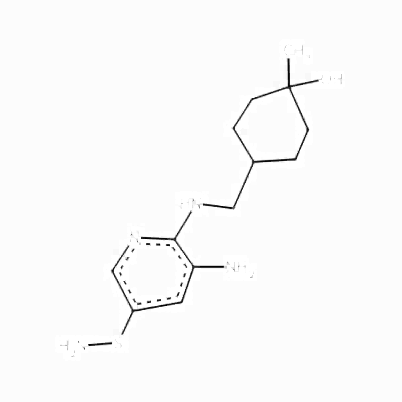 CC1(O)CCC(CNc2ncc(SN)cc2N)CC1